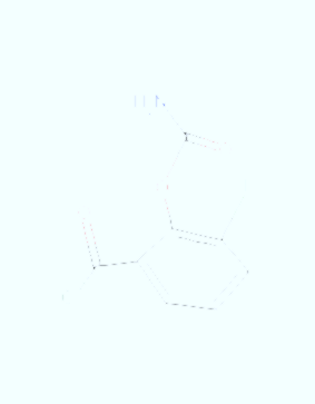 NC(=O)Oc1c(F)cccc1C(=O)Cl